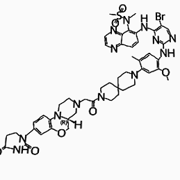 COc1cc(N2CCC3(CCN(C(=O)CN4CCN5c6ccc(N7CCC(=O)NC7=O)cc6OC[C@H]5C4)CC3)CC2)c(C)cc1Nc1ncc(Br)c(Nc2ccc3nccnc3c2N(C)S(C)(=O)=O)n1